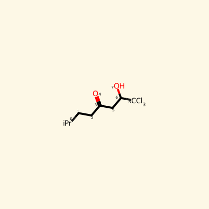 CC(C)CCC(=O)CC(O)C(Cl)(Cl)Cl